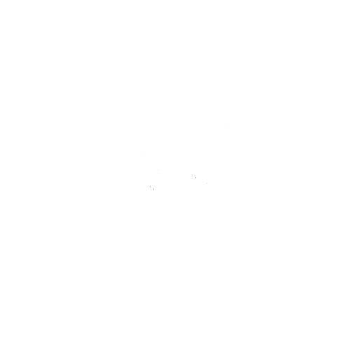 NC(CCC(=O)O)C(=O)NCCS